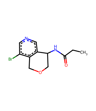 CCC(=O)NC1COCc2c(Br)cncc21